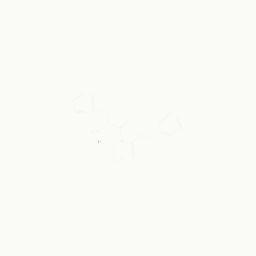 CC(C)C(C(=O)O)N(C(=O)OCc1ccccc1)C(=O)C(N)Cc1ccccc1